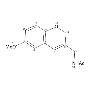 COc1ccc2c(c1)C=C(CNC(C)=O)CO2